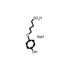 O=S(=O)(O)CCCCOc1ccc(O)cc1.[NaH]